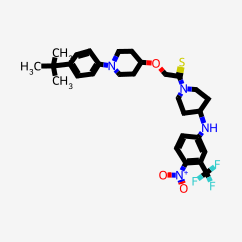 CC(C)(C)c1ccc(N2CCC(OCC(=S)N3CCC(Nc4ccc([N+](=O)[O-])c(C(F)(F)F)c4)CC3)CC2)cc1